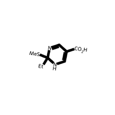 CCC1(SC)N=CC(C(=O)O)=CN1